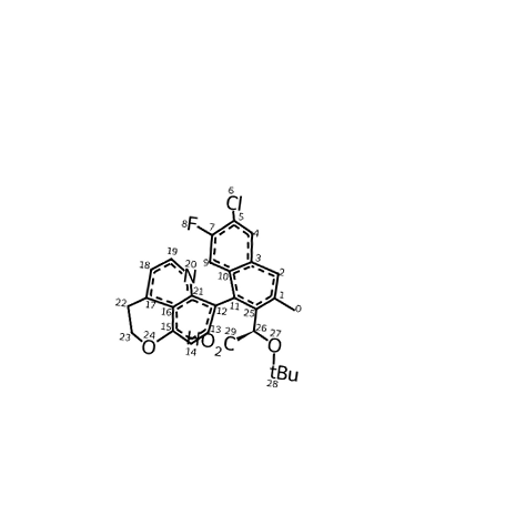 Cc1cc2cc(Cl)c(F)cc2c(-c2ccc3c4c(ccnc24)CCO3)c1[C@@H](OC(C)(C)C)C(=O)O